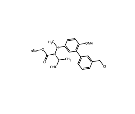 CCCCOC(=O)N(C(C)C=O)N(C)c1ccc(OC)c(-c2cccc(CCl)c2)c1